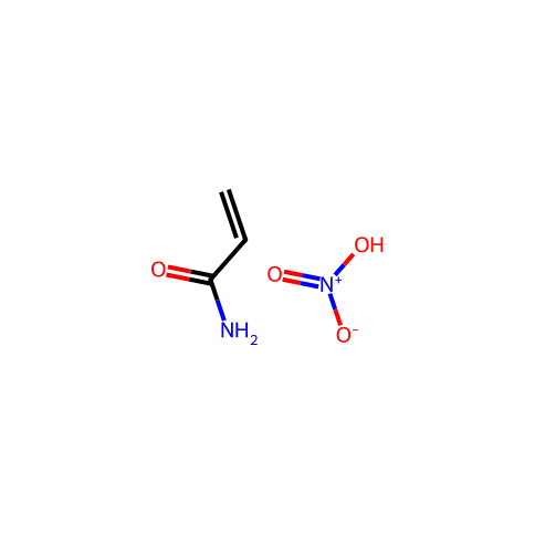 C=CC(N)=O.O=[N+]([O-])O